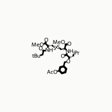 COC(=O)[C@H](CSSC[C@H](NC(=O)[C@H](CC(C)C)OCc1cccc(OC(C)=O)c1)C(=O)OC)NC(=O)CC(C)(C)C